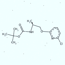 C[C@@H](COc1cccc(Cl)n1)NC(=O)OC(C)(C)C